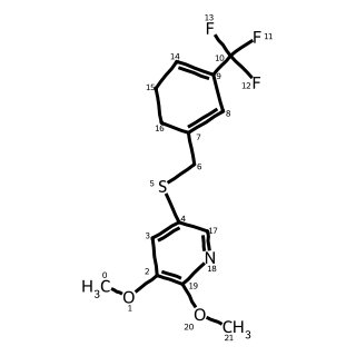 COc1cc(SCC2=CC(C(F)(F)F)=CCC2)cnc1OC